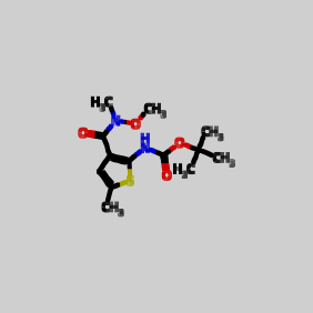 CON(C)C(=O)c1cc(C)sc1NC(=O)OC(C)(C)C